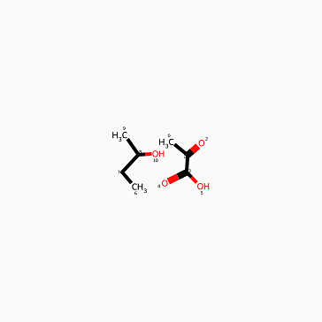 CC(=O)C(=O)O.CCC(C)O